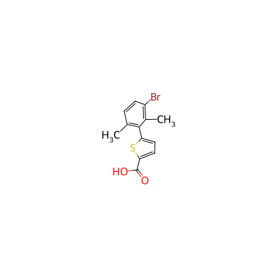 Cc1ccc(Br)c(C)c1-c1ccc(C(=O)O)s1